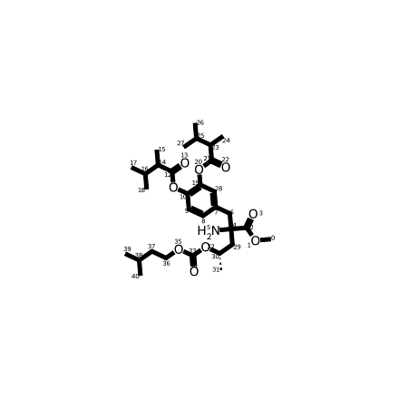 COC(=O)C(N)(Cc1ccc(OC(=O)C(C)C(C)C)c(OC(=O)C(C)C(C)C)c1)C[C@H](C)OC(=O)OCCC(C)C